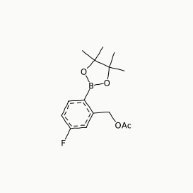 CC(=O)OCc1cc(F)ccc1B1OC(C)(C)C(C)(C)O1